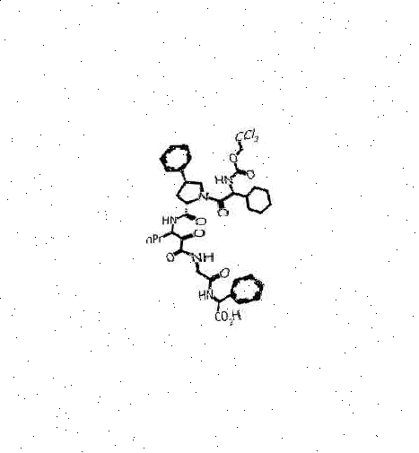 CCCC(NC(=O)[C@@H]1C[C@@H](c2ccccc2)CN1C(=O)[C@@H](NC(=O)OCC(Cl)(Cl)Cl)C1CCCCC1)C(=O)C(=O)NCC(=O)N[C@H](C(=O)O)c1ccccc1